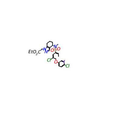 C/C=C(\C=C(\Cl)COC1=CC=C(Cl)I=C1)S(=O)(=O)N(C)[C@@H]1CCCc2c1cnn2CC(=O)OCC